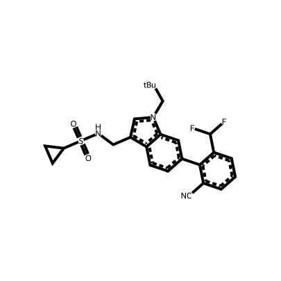 CC(C)(C)Cn1cc(CNS(=O)(=O)C2CC2)c2ccc(-c3c(C#N)cccc3C(F)F)cc21